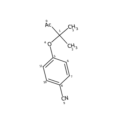 CC(=O)C(C)(C)Oc1ccc(C#N)cc1